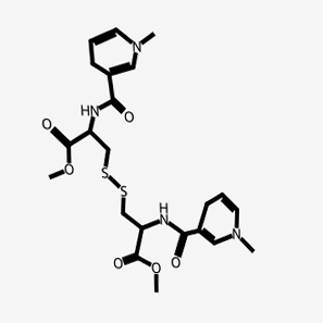 COC(=O)C(CSSCC(NC(=O)C1=CN(C)C=CC1)C(=O)OC)NC(=O)C1=CN(C)C=CC1